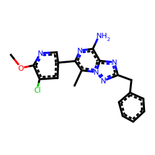 COc1ncc(-c2nc(N)c3nc(Cc4ccccc4)nn3c2C)cc1Cl